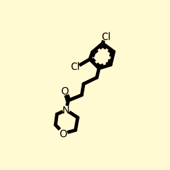 O=C(CCCc1ccc(Cl)cc1Cl)N1CCOCC1